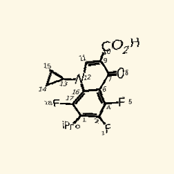 CC(C)c1c(F)c(F)c2c(=O)c(C(=O)O)cn(C3CC3)c2c1F